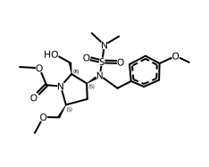 COC[C@@H]1C[C@H](N(Cc2ccc(OC)cc2)S(=O)(=O)N(C)C)[C@H](CO)N1C(=O)OC